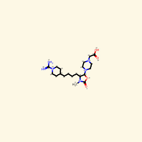 CN1C(=O)OC(N2CCN(CC(=O)O)CC2)C1CCCCC1CCN(C(=N)N)CC1